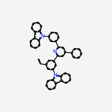 C=Cc1cc(-c2cc(-c3ccccc3)cc(-c3cccc(-n4c5ccccc5c5ccccc54)c3)n2)cc(-n2c3ccccc3c3ccccc32)c1